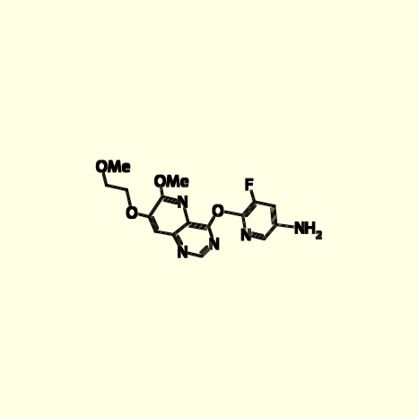 COCCOc1cc2ncnc(Oc3ncc(N)cc3F)c2nc1OC